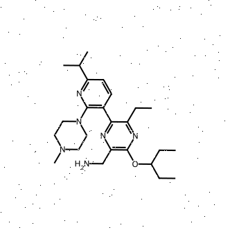 CCc1nc(OC(CC)CC)c(CN)nc1-c1ccc(C(C)C)nc1N1CCN(C)CC1